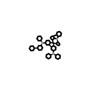 c1ccc(-c2cccc(N(c3ccccc3)c3ccc4c(c3)-c3cc(N(c5ccccc5)c5ccccc5)ccc3C43c4ccccc4-n4c5ccccc5c5cccc3c54)c2)cc1